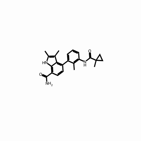 Cc1[nH]c2c(C(N)=O)ccc(-c3cccc(NC(=O)C4(C)CC4)c3C)c2c1C